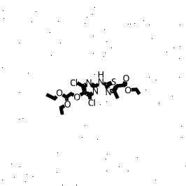 CCOC(=O)c1sc(Nc2nc(Cl)c(OCC(OCC)OCC)c(Cl)n2)nc1C